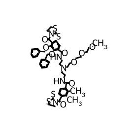 COCCOCCOCCN(CCNC(=O)c1ccc(C(=O)N2CCSC2=S)c(C)c1C)CCNC(=O)c1ccc(C(=O)N2CCSC2=S)c(OCc2ccccc2)c1OCc1ccccc1